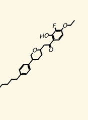 CCCCCc1ccc(C2CCC(CC(=O)c3ccc(OCC)c(F)c3O)OC2)cc1